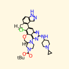 Cc1ccc2[nH]ncc2c1-c1cc2nc(NC3CCN(C4CC4)CC3)nc3c2c(c1Cl)OC[C@@H]1CN(C(=O)OC(C)(C)C)CCN31